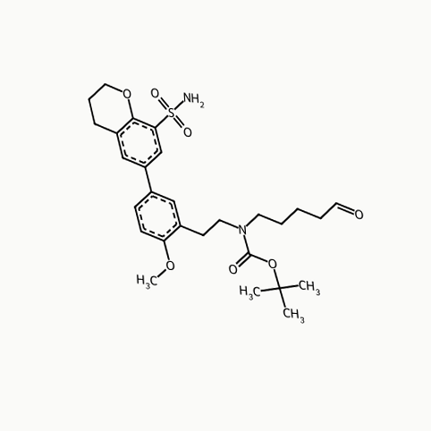 COc1ccc(-c2cc3c(c(S(N)(=O)=O)c2)OCCC3)cc1CCN(CCCCC=O)C(=O)OC(C)(C)C